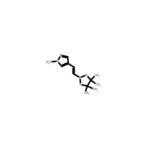 Cn1cc(/C=C/B2OC(C)(C)C(C)(C)O2)cn1